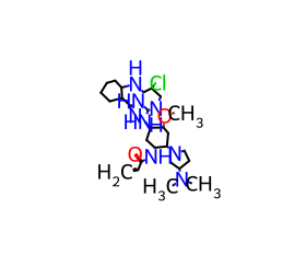 C=CC(=O)NC1CC(NC2NCC(Cl)C(NC3CCCCC3C#N)N2)C(OC)CC1N1CCC(N(C)C)C1